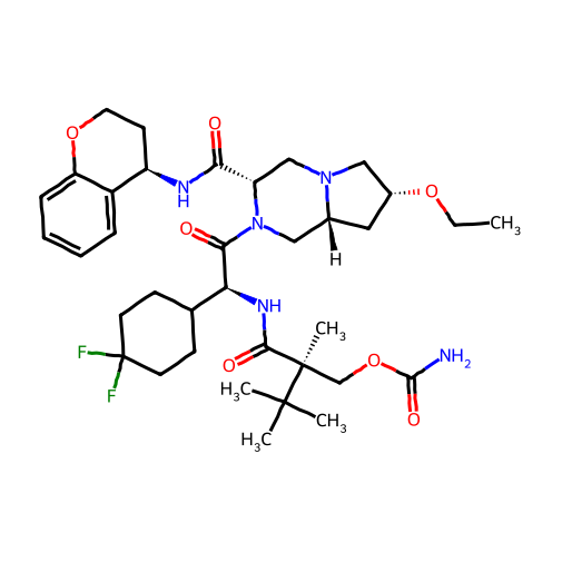 CCO[C@@H]1C[C@@H]2CN(C(=O)[C@@H](NC(=O)[C@@](C)(COC(N)=O)C(C)(C)C)C3CCC(F)(F)CC3)[C@H](C(=O)N[C@@H]3CCOc4ccccc43)CN2C1